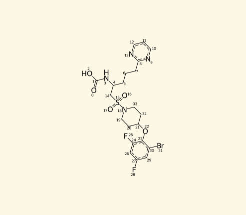 O=C(O)NC(CCCc1ncccn1)CS(=O)(=O)N1CCC(Oc2c(F)cc(F)cc2Br)CC1